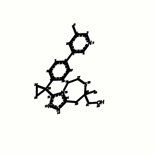 Cc1cncc(-c2ccc(C3(c4nnc5n4CCSC(C)(CO)C5)CC3)cc2)c1